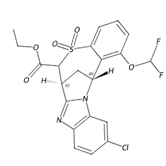 CCOC(=O)C1[C@H]2C[C@H](c3c(OC(F)F)cccc3S1(=O)=O)n1c2nc2ccc(Cl)cc21